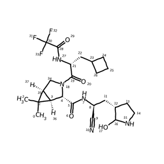 CC1(C)[C@@H]2[C@@H](C(=O)N[C@H](C#N)C[C@@H]3CCNC3O)N(C(=O)[C@@H](CC3CCC3)NC(=O)C(F)(F)F)C[C@@H]21